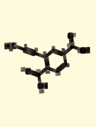 CC#Cc1cc(C(=O)O)ccc1C(=O)O